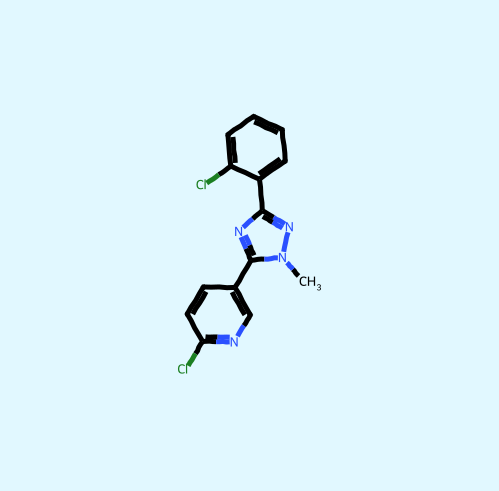 Cn1nc(-c2ccccc2Cl)nc1-c1ccc(Cl)nc1